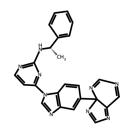 C[C@H](Nc1nccc(-n2cnc3cc(C45N=CN=CC4=NC=N5)ccc32)n1)c1ccccc1